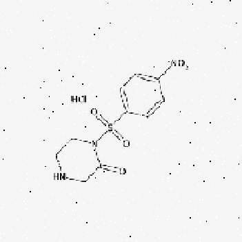 Cl.O=C1CNCCN1S(=O)(=O)c1ccc([N+](=O)[O-])cc1